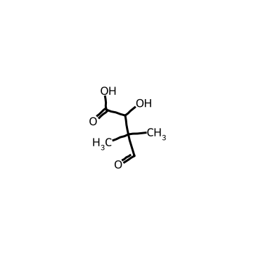 CC(C)(C=O)C(O)C(=O)O